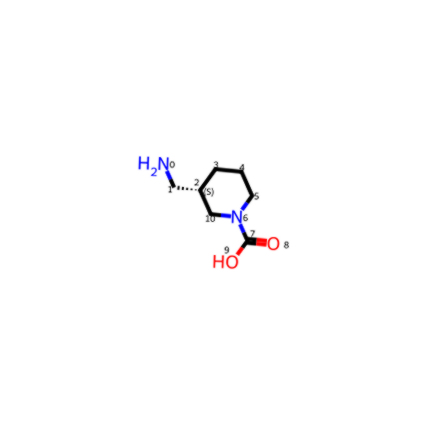 NC[C@@H]1CCCN(C(=O)O)C1